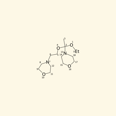 CCOC(C)(OCCN1CCOCC1)N1CCOCC1